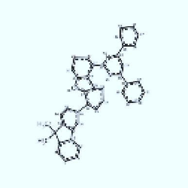 CC1(C)c2ccccc2-c2cc(-c3cccc4c3oc3cccc(-c5nc(-c6ccccc6)cc(-c6ccccc6)n5)c34)ccc21